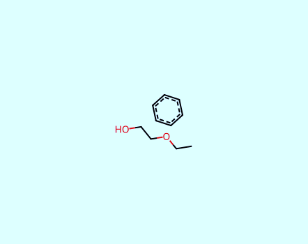 CCOCCO.c1ccccc1